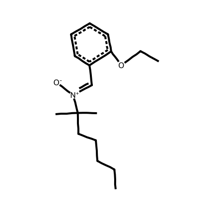 CCCCCC(C)(C)[N+]([O-])=Cc1ccccc1OCC